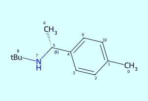 Cc1ccc([C@@H](C)NC(C)(C)C)cc1